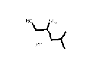 CC(C)CC(N)CO.Cl